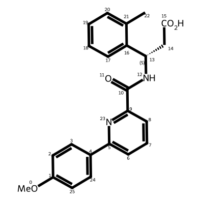 COc1ccc(-c2cccc(C(=O)N[C@@H](CC(=O)O)c3ccccc3C)n2)cc1